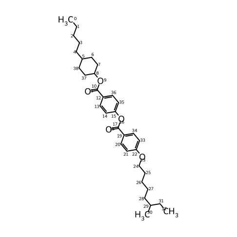 CCCCCC1CCC(OC(=O)c2ccc(OC(=O)c3ccc(OCCCCCC(C)CC)cc3)cc2)CC1